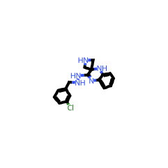 Clc1cccc(CNNC2=Nc3ccccc3NC23CNC3)c1